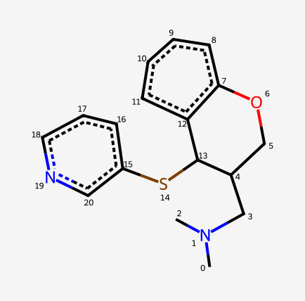 CN(C)CC1COc2ccccc2C1Sc1cccnc1